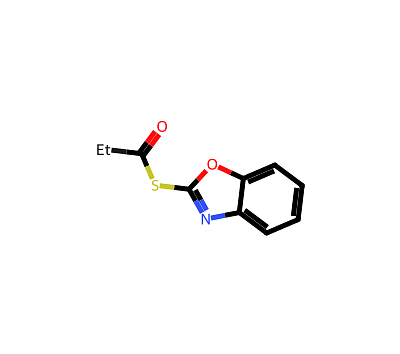 CCC(=O)Sc1nc2ccccc2o1